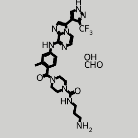 Cc1cc(Nc2nccn3c(-c4c[nH]nc4C(F)(F)F)cnc23)ccc1C(=O)N1CCN(C(=O)NCCCN)CC1.O=CO